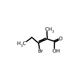 CC/C(Br)=C(\C)C(=O)O